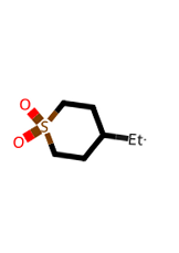 C[CH]C1CCS(=O)(=O)CC1